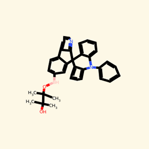 CC(C)(O)C(C)(C)OBc1ccc2c(c1)C1(c3ccccc3N(c3ccccc3)c3ccccc31)c1ncccc1-2